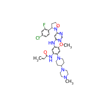 C=CC(=O)Nc1cc(Nc2cc(N3OCCC3c3ccc(Cl)cc3F)ncn2)c(OC)cc1N1CCC(N2CCN(C)CC2)CC1